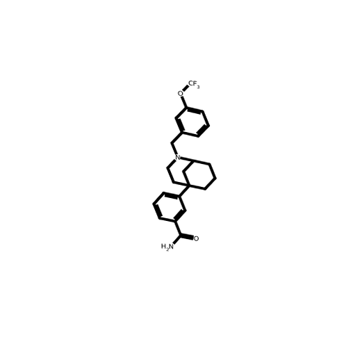 NC(=O)c1cccc(C23CCCC(C2)N(Cc2cccc(OC(F)(F)F)c2)CC3)c1